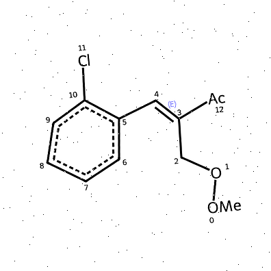 COOC/C(=C\c1ccccc1Cl)C(C)=O